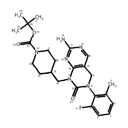 Cc1cccc(F)c1N1Cc2cnc(N)nc2N(CC2CCN(C(=O)OC(C)(C)C)CC2)C1=O